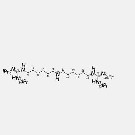 CC(C)N=C(NCCCCCCNCCCCCCNC(=NC(C)C)NC(C)C)NC(C)C